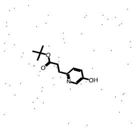 CC(C)(C)OC(=O)CCc1ccc(O)cn1